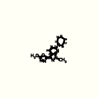 Cc1nnc(-c2nn(C)c3nc(N4CCCCCC4)ccc23)o1